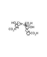 O=C(O)CN(CCN(CCN(Cc1cccc(C(=O)O)n1)CC(O)O)C(=O)O)Cc1cccc(C(=O)O)n1